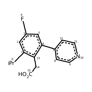 CC(C)c1cc(F)cc(-c2ccncc2)c1CC(=O)O